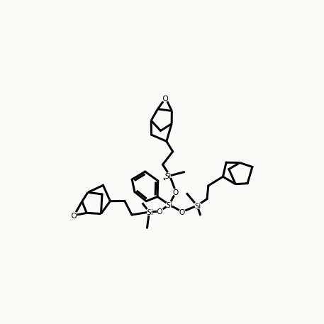 C[Si](C)(CCC1CC2CCC1C2)O[Si](O[Si](C)(C)CCC1CC2CC1C1OC21)(O[Si](C)(C)CCC1CC2CC1C1OC21)c1ccccc1